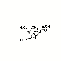 CCCCc1nc2cc(/C=C/C(=O)NO)ccn2c1CN(CCC)CCC